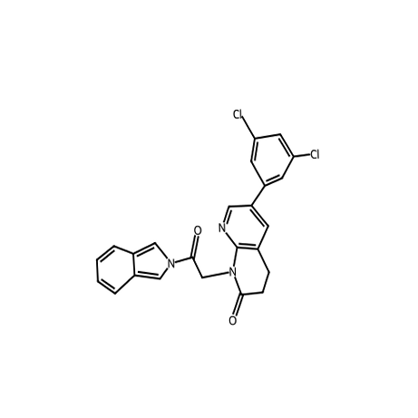 O=C1CCc2cc(-c3cc(Cl)cc(Cl)c3)cnc2N1CC(=O)n1cc2ccccc2c1